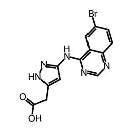 O=C(O)Cc1cc(Nc2ncnc3ccc(Br)cc23)n[nH]1